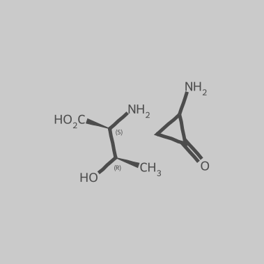 C[C@@H](O)[C@H](N)C(=O)O.NC1CC1=O